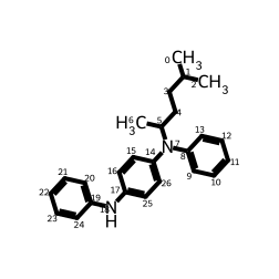 CC(C)CCC(C)N(c1ccccc1)c1ccc(Nc2ccccc2)cc1